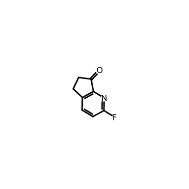 O=C1CCc2ccc(F)nc21